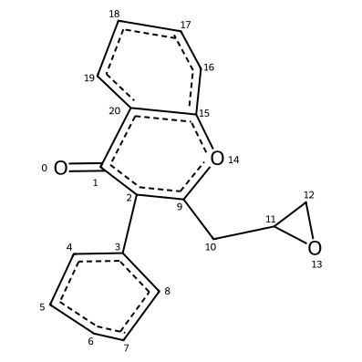 O=c1c(-c2ccccc2)c(CC2CO2)oc2ccccc12